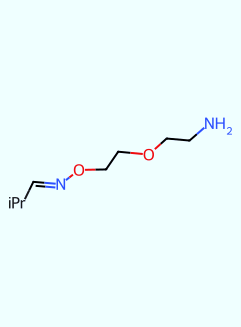 CC(C)C=NOCCOCCN